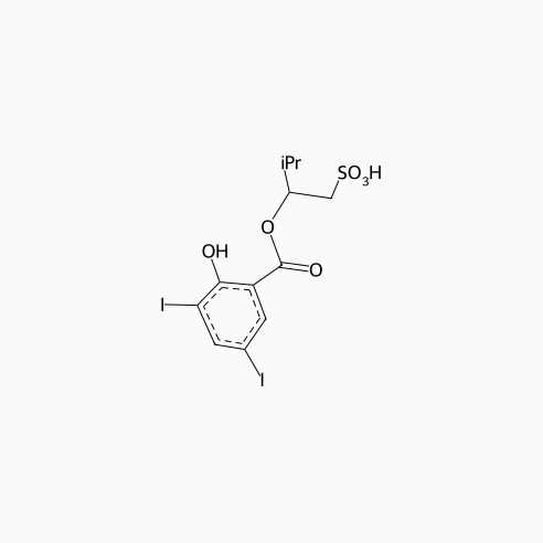 CC(C)C(CS(=O)(=O)O)OC(=O)c1cc(I)cc(I)c1O